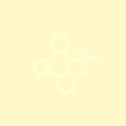 CC(C)(C)C1c2ccccc2-c2ncoc2-c2ccccc21